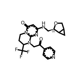 O=C(CN1c2nc(NC[C@H]3OCC4CC43)cc(=O)n2CCC1C(F)(F)F)c1ccncc1